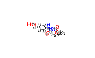 CC(C)CC(NC(=O)OC(C)(C)C)C(=O)Nc1ccc(CO)cc1